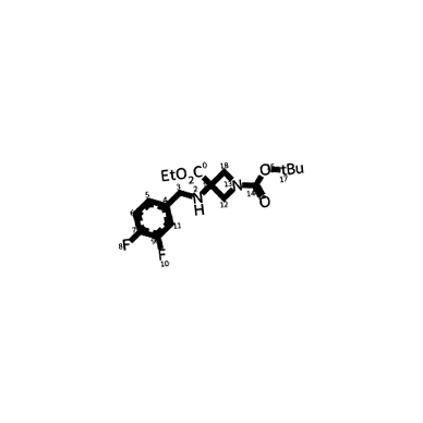 CCOC(=O)C1(NCc2ccc(F)c(F)c2)CN(C(=O)OC(C)(C)C)C1